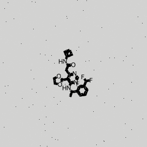 CC(Nc1ncnc(CC(=O)NC23CC(C2)C3)c1C1OCCO1)c1cccc(C(F)F)c1F